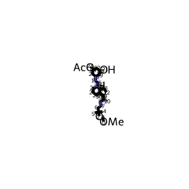 COCOC(C)(C)C/C=C/[C@@H](C)[C@H]1CC[C@H]2/C(=C/C=C3\C[C@@H](O)C[C@H](OC(C)=O)C3)CCC[C@]12C